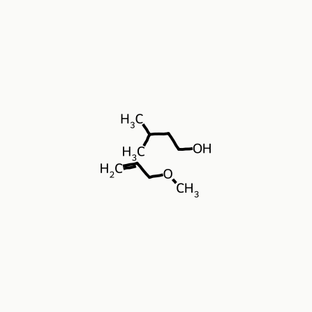 C=CCOC.CC(C)CCO